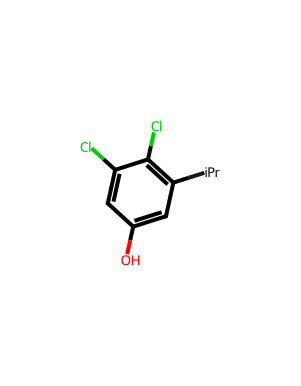 CC(C)c1cc(O)cc(Cl)c1Cl